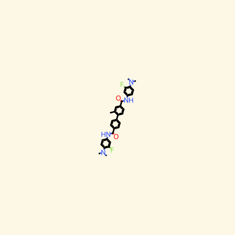 Cc1cc(C(=O)Nc2ccc(N(C)C)c(F)c2)ccc1-c1ccc(C(=O)Nc2ccc(N(C)C)c(F)c2)cc1